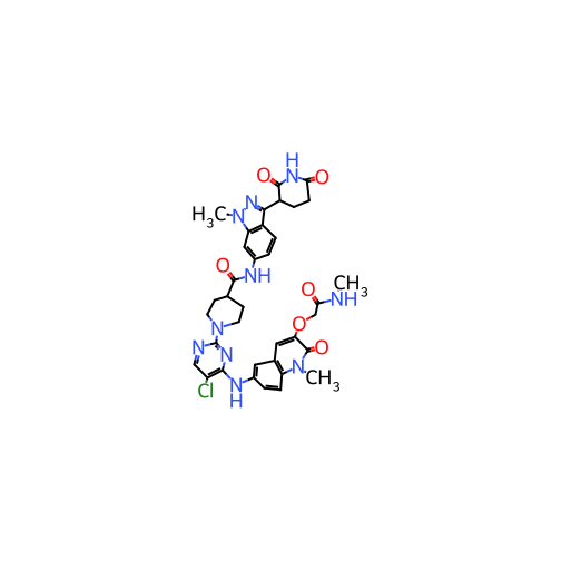 CNC(=O)COc1cc2cc(Nc3nc(N4CCC(C(=O)Nc5ccc6c(C7CCC(=O)NC7=O)nn(C)c6c5)CC4)ncc3Cl)ccc2n(C)c1=O